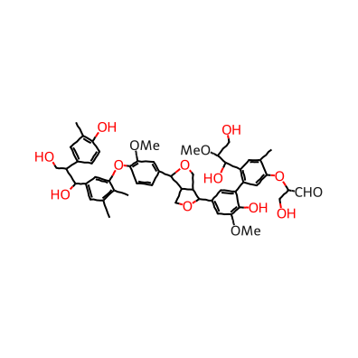 COc1cc(C2OCC3C(c4cc(OC)c(O)c(-c5cc(OC(C=O)CO)c(C)cc5C(O)C(CO)OC)c4)OCC23)ccc1Oc1cc(C(O)C(CO)c2ccc(O)c(C)c2)cc(C)c1C